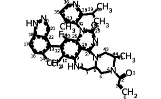 C=CC(=O)N1CC2CNc3c(Cl)c(-c4c(C)ccc5[nH]ncc45)c(F)c4c3c(nc(=O)n4-c3c(C)ccnc3C(C)C)N2CC1C